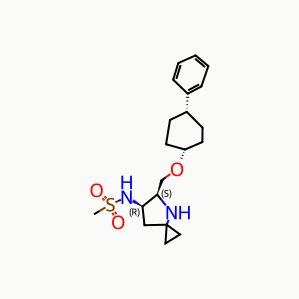 CS(=O)(=O)N[C@@H]1CC2(CC2)N[C@@H]1CO[C@H]1CC[C@@H](c2ccccc2)CC1